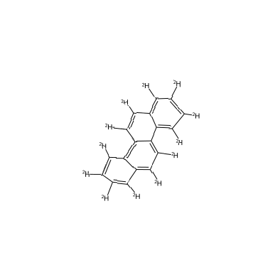 [2H]c1c([2H])c([2H])c2c(c1[2H])c([2H])c([2H])c1c3c([2H])c([2H])c([2H])c([2H])c3c([2H])c([2H])c21